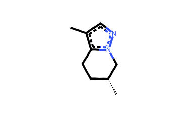 Cc1cnn2c1CC[C@@H](C)C2